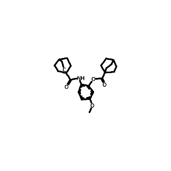 COc1ccc(NC(=O)C23CCC(CC2)CC3)c(OC(=O)C23CCC(CC2)CC3)c1